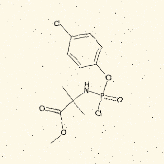 COC(=O)C(C)(C)NP(=O)(Cl)Oc1ccc(Cl)cc1